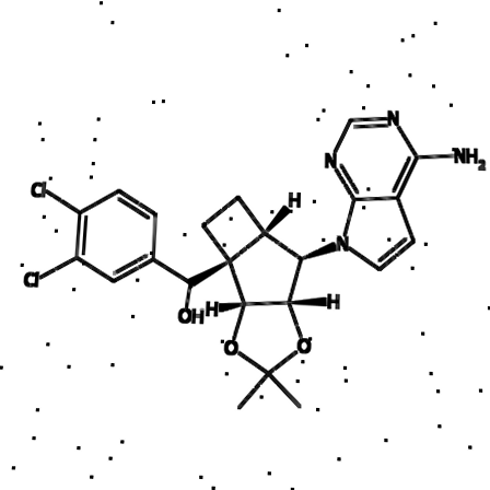 CC1(C)O[C@H]2[C@H](n3ccc4c(N)ncnc43)[C@H]3CC[C@@]3(C(O)c3ccc(Cl)c(Cl)c3)[C@H]2O1